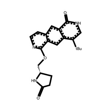 CC(C)(C)c1c[nH]c(=O)c2cc3ccnc(OC[C@@H]4CCC(=O)N4)c3cc12